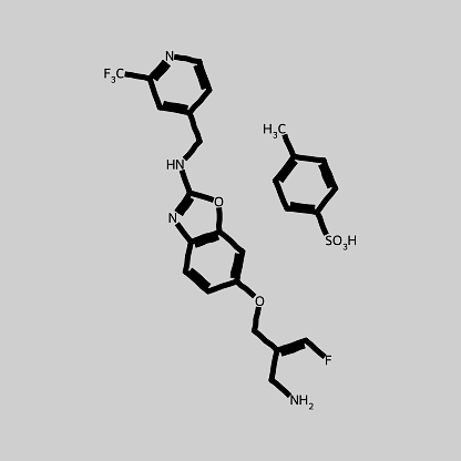 Cc1ccc(S(=O)(=O)O)cc1.NCC(=CF)COc1ccc2nc(NCc3ccnc(C(F)(F)F)c3)oc2c1